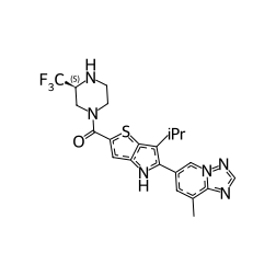 Cc1cc(-c2[nH]c3cc(C(=O)N4CCN[C@H](C(F)(F)F)C4)sc3c2C(C)C)cn2ncnc12